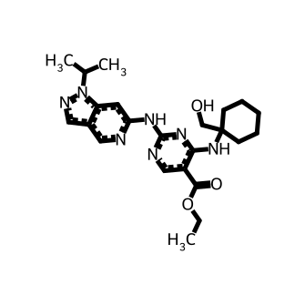 CCOC(=O)c1cnc(Nc2cc3c(cn2)cnn3C(C)C)nc1NC1(CO)CCCCC1